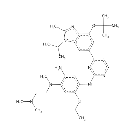 CCOc1cc(N(C)CCN(C)C)c(N)cc1Nc1nccc(-c2cc(OC(C)(C)C)c3nc(C)n(C(C)C)c3c2)n1